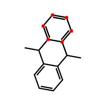 CC12c3ccccc3C(C)(c3ccccc31)c1ccccc12